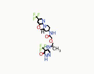 C[C@@H](COCC(=O)NC1CCN2c3ncc(C(F)(F)F)cc3OC[C@H]2C1)Nc1cn[nH]c(=O)c1C(F)(F)F